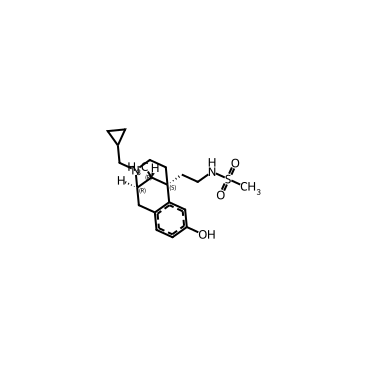 C[C@H]1[C@H]2Cc3ccc(O)cc3[C@]1(CCNS(C)(=O)=O)CCN2CC1CC1